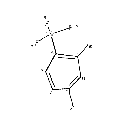 Cc1ccc(S(F)(F)F)c(C)c1